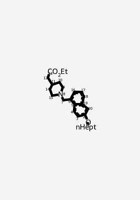 CCCCCCCOc1ccc2c(CN3CCC(CC(=O)OCC)CC3)cccc2c1